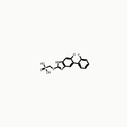 O=P(O)(O)CSc1nc2cc(-c3ccccc3F)c(Cl)cc2[nH]1